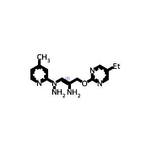 CCc1cnc(OC/C(N)=C/N(N)c2cc(C)ccn2)nc1